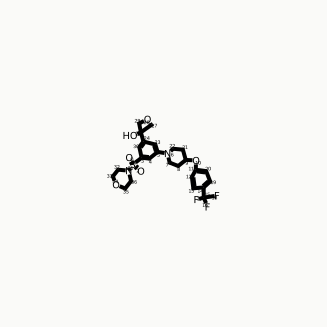 O=S(=O)(c1cc(N2CCC(Oc3ccc(C(F)(F)F)cc3)CC2)cc(C2(O)COC2)c1)N1CCOCC1